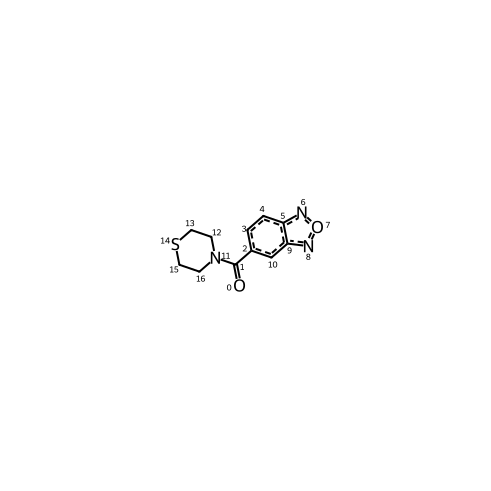 O=C(c1ccc2nonc2c1)N1CCSCC1